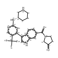 O=C1CCN(C(=O)c2ccc3c(-c4nc(N[C@H]5CCCNC5)ncc4C(F)(F)F)c[nH]c3c2)C1